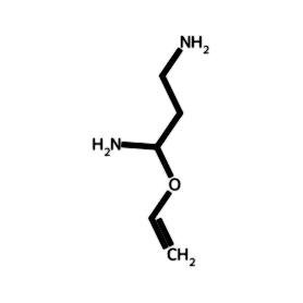 C=COC(N)CCN